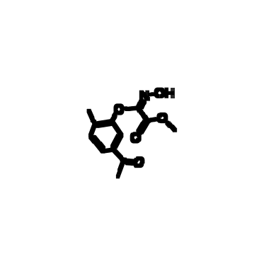 COC(=O)/C(=N\O)Oc1cc(C(C)=O)ccc1C